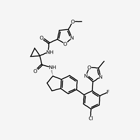 COc1cc(C(=O)NC2(C(=O)N[C@H]3CCc4cc(-c5cc(Cl)cc(F)c5-c5noc(C)n5)ccc43)CC2)on1